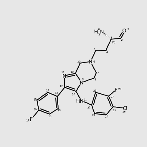 N[C@H](C=O)CCN1CCn2c(nc(-c3ccc(F)cc3)c2Nc2ccc(Cl)c(F)c2)C1